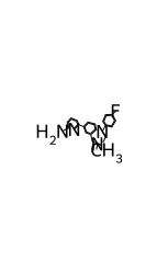 CN1CCN(c2ccc(F)cc2)c2ccc(-c3cccc(N)n3)cc2C1